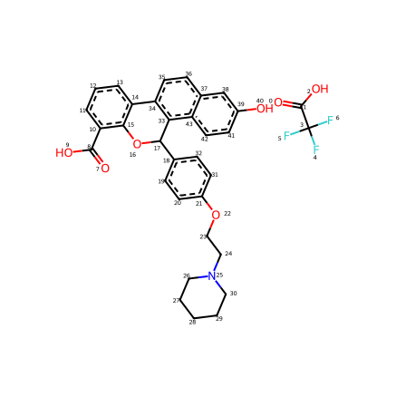 O=C(O)C(F)(F)F.O=C(O)c1cccc2c1OC(c1ccc(OCCN3CCCCC3)cc1)c1c-2ccc2cc(O)ccc12